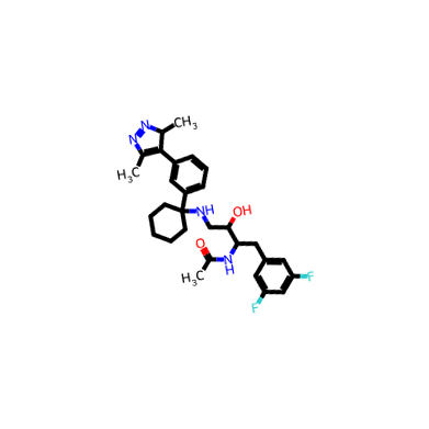 CC(=O)NC(Cc1cc(F)cc(F)c1)C(O)CNC1(c2cccc(C3=C(C)N=NC3C)c2)CCCCC1